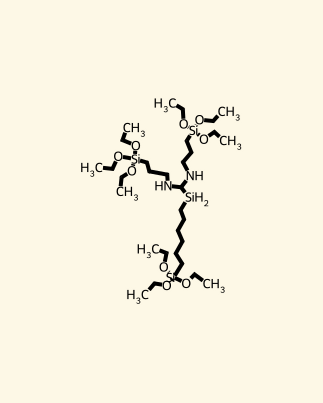 CCO[Si](CCCCCC[SiH2]C(NCCC[Si](OCC)(OCC)OCC)NCCC[Si](OCC)(OCC)OCC)(OCC)OCC